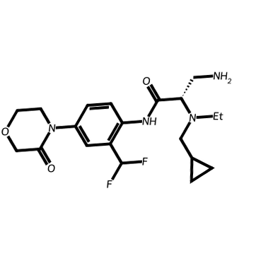 CCN(CC1CC1)[C@@H](CN)C(=O)Nc1ccc(N2CCOCC2=O)cc1C(F)F